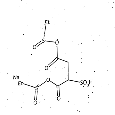 CCS(=O)OC(=O)CC(C(=O)OS(=O)CC)S(=O)(=O)O.[Na]